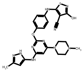 Cc1cc(Nc2cc(N3CCN(C)CC3)nc(Oc3ccc(Nc4snc(O)c4C#N)cc3)n2)[nH]n1